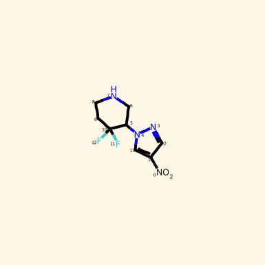 O=[N+]([O-])c1cnn(C2CNCCC2(F)F)c1